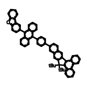 CC(C)(C)C1(C(C)(C)C)c2cc3cc(-c4ccc(-c5c6ccccc6c(-c6ccc7oc8ccccc8c7c6)c6ccccc56)cc4)ccc3cc2-c2c1c1ccccc1c1ccccc21